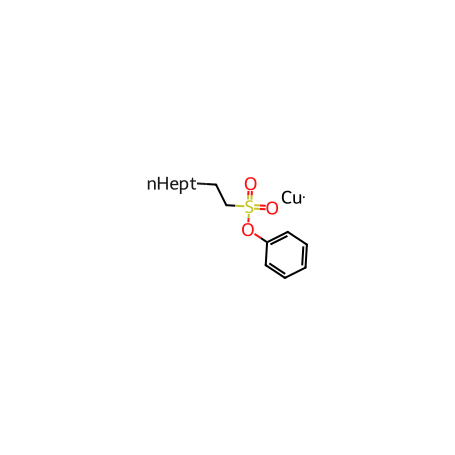 CCCCCCCCCS(=O)(=O)Oc1ccccc1.[Cu]